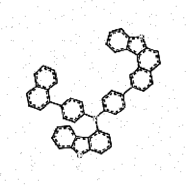 c1ccc2c(-c3ccc(N(c4ccc(-c5ccc6ccc7oc8ccccc8c7c6c5)cc4)c4cccc5oc6ccccc6c45)cc3)cccc2c1